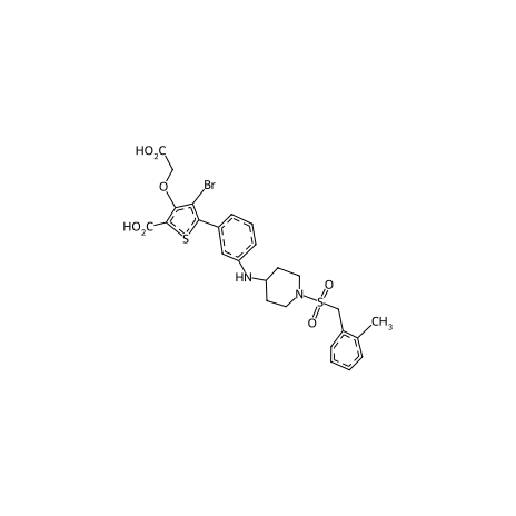 Cc1ccccc1CS(=O)(=O)N1CCC(Nc2cccc(-c3sc(C(=O)O)c(OCC(=O)O)c3Br)c2)CC1